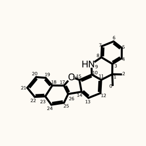 CC1(C)c2ccccc2Nc2c1ccc1c2oc2c3ccccc3ccc12